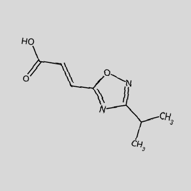 CC(C)c1noc(C=CC(=O)O)n1